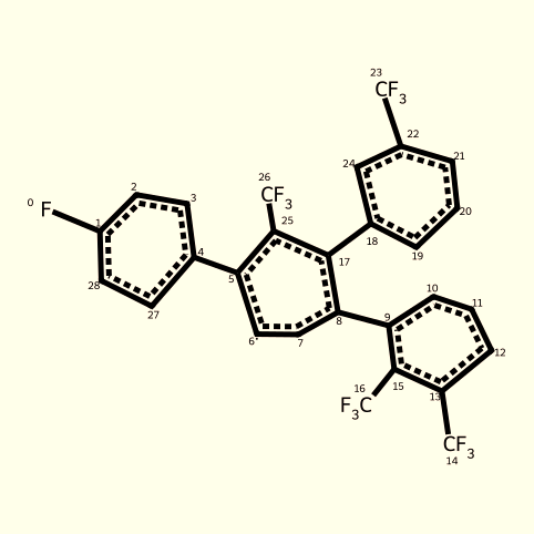 Fc1ccc(-c2[c]cc(-c3cccc(C(F)(F)F)c3C(F)(F)F)c(-c3cccc(C(F)(F)F)c3)c2C(F)(F)F)cc1